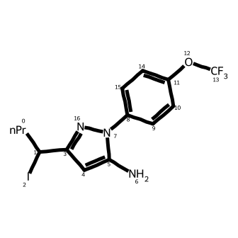 CCCC(I)c1cc(N)n(-c2ccc(OC(F)(F)F)cc2)n1